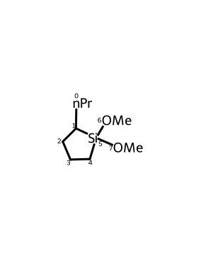 CCCC1CCC[Si]1(OC)OC